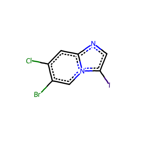 Clc1cc2ncc(I)n2cc1Br